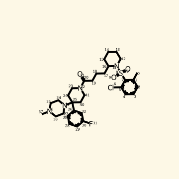 Cc1cccc(Cl)c1S(=O)(=O)N1CCCCC1CCCC(=O)N1CCC(c2cccc(F)c2)(N2CCN(C)CC2)CC1